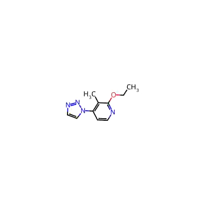 CCOc1nccc(-n2ccnn2)c1C